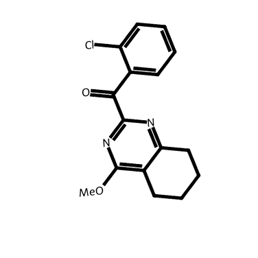 COc1nc(C(=O)c2ccccc2Cl)nc2c1CCCC2